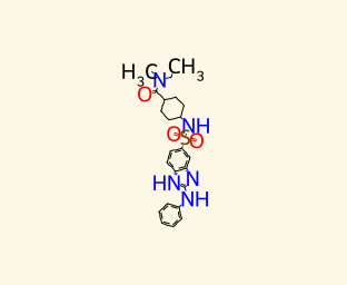 CCN(C)C(=O)C1CCC(NS(=O)(=O)c2ccc3[nH]c(Nc4ccccc4)nc3c2)CC1